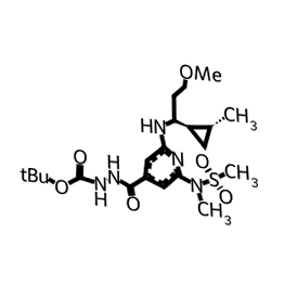 COCCC(Nc1cc(C(=O)NNC(=O)OC(C)(C)C)cc(N(C)S(C)(=O)=O)n1)[C@@H]1C[C@H]1C